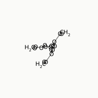 C=CC(=O)OCCCCCCCCCCCOc1ccc(C(=O)Oc2ccc(OC(=O)c3ccc(OCCCCCCCCCCCOC(=O)C=C)cc3)c(C(=O)OCCCCCOC(=O)c3ccc(OCCCCCCOC(=O)C=C)cc3)c2)cc1